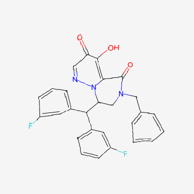 O=C1c2c(O)c(=O)cnn2C(C(c2cccc(F)c2)c2cccc(F)c2)CN1Cc1ccccc1